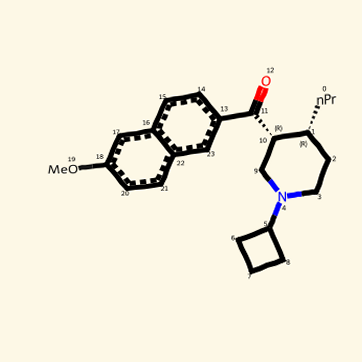 CCC[C@@H]1CCN(C2CCC2)C[C@@H]1C(=O)c1ccc2cc(OC)ccc2c1